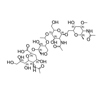 CO[C@@H]1C(NC(C)=O)[C@@H](C)OC(CO[C@@H]2OC(CO)[C@@H](OC(C)OC(CO)[C@H](O)[C@@H](C)O[C@]3(C(=O)O)C[C@@H](O)[C@@H](NC(C)=O)C([C@H](O)[C@H](O)CO)O3)[C@H](O)C2NC(C)=O)[C@@H]1O